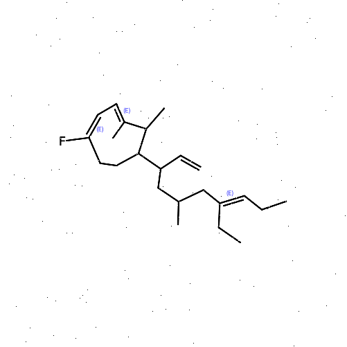 C=CC(CC(C)C/C(=C/CC)CC)C1CC/C(F)=C\C=C(/C)C1C